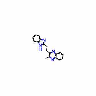 Cc1nc2ccccc2nc1CCc1nc2ccccc2[nH]1